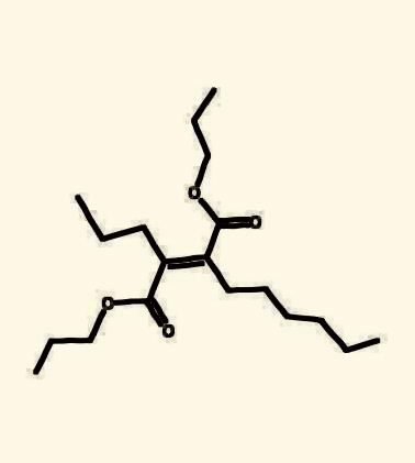 CCCCCCC(C(=O)OCCC)=C(CCC)C(=O)OCCC